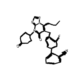 CCCc1c(Cc2ccc(-c3ccccc3C#N)cc2F)c(=O)n(C2CCC(=O)CC2)c2ncnn12